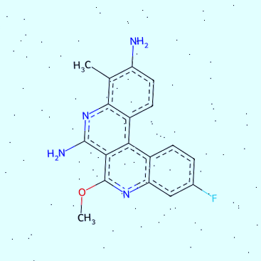 COc1nc2cc(F)ccc2c2c1c(N)nc1c(C)c(N)ccc12